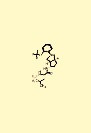 CN[C@@H](CC(C)C)C(=O)N[C@H]1CC[C@@H]2CN(c3ccccc3OC(F)(F)F)C[C@@H]21